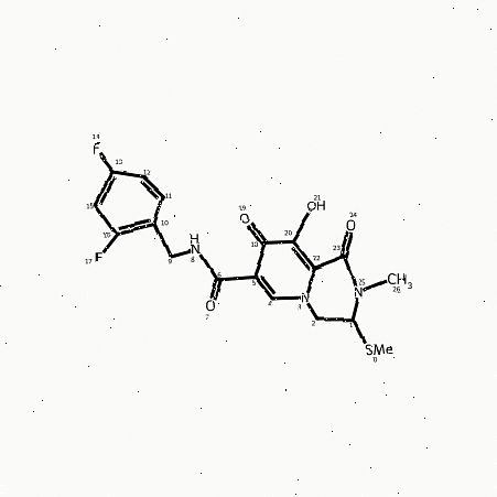 CSC1Cn2cc(C(=O)NCc3ccc(F)cc3F)c(=O)c(O)c2C(=O)N1C